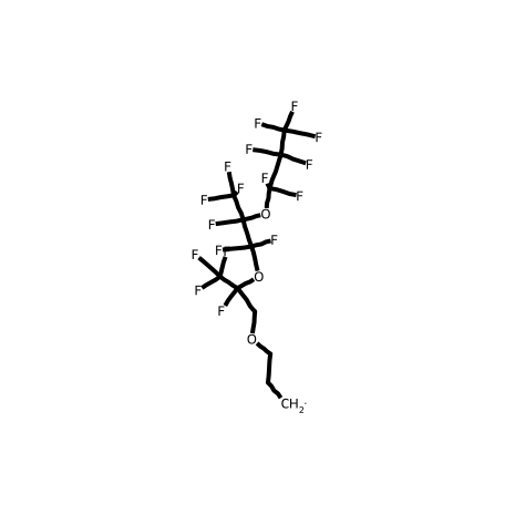 [CH2]CCOCC(F)(OC(F)(F)C(F)(OC(F)(F)C(F)(F)C(F)(F)F)C(F)(F)F)C(F)(F)F